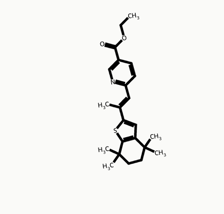 CCOC(=O)c1ccc(/C=C(\C)c2cc3c(s2)C(C)(C)CCC3(C)C)nc1